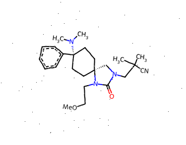 COCCN1C(=O)N(CC(C)(C)C#N)C[C@]12CC[C@@](c1ccccc1)(N(C)C)CC2